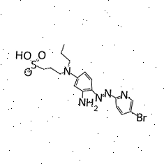 CCCN(CCCS(=O)(=O)O)c1ccc(/N=N/c2ccc(Br)cn2)c(N)c1